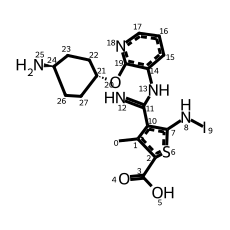 Cc1c(C(=O)O)sc(NI)c1C(=N)Nc1cccnc1O[C@H]1CC[C@H](N)CC1